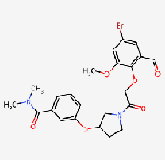 COc1cc(Br)cc(C=O)c1OCC(=O)N1CCC(Oc2cccc(C(=O)N(C)C)c2)C1